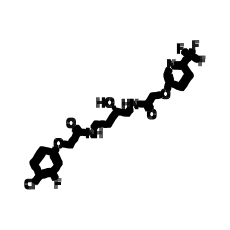 O=C(COc1ccc(Cl)c(F)c1)NCC[C@H](O)CNC(=O)COc1ccc(C(F)(F)F)nc1